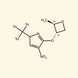 [2H]C([2H])([2H])n1cc([N+](=O)[O-])c(O[C@H]2CO[C@@H]2C)n1